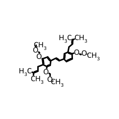 COCOc1ccc(C=Cc2cc(OCOC)c(CC=C(C)C)c(OCOC)c2)cc1CC=C(C)C